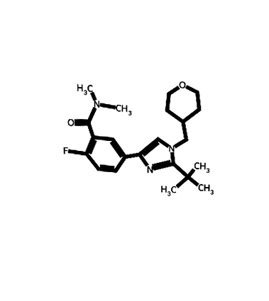 CN(C)C(=O)c1cc(-c2cn(CC3CCOCC3)c(C(C)(C)C)n2)ccc1F